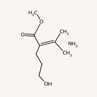 COC(=O)C(CCCO)=C(C)C.N